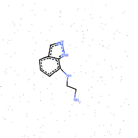 NCCNc1cccc2cn[nH]c12